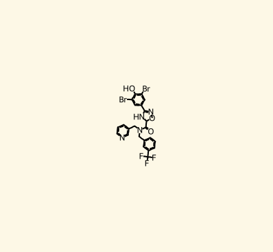 O=C(C1NC(c2cc(Br)c(O)c(Br)c2)=NO1)N(Cc1cccnc1)Cc1cccc(C(F)(F)F)c1